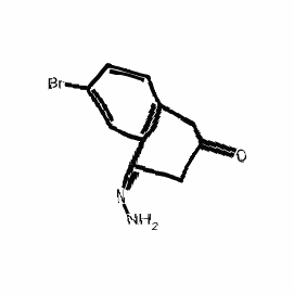 NN=C1CC(=O)Cc2ccc(Br)cc21